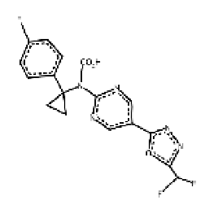 O=C(O)N(c1ncc(-c2nnc(C(F)F)o2)cn1)C1(c2ccc(F)cc2)CC1